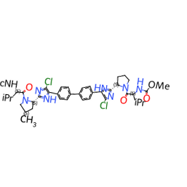 COC(=O)N[C@H](C(=O)N1CCC[C@H]1c1nc(Cl)c(-c2ccc(-c3ccc(-c4[nH]c([C@@H]5C[C@H](C)CN5C(=O)[C@@H](NC(C)=O)C(C)C)nc4Cl)cc3)cc2)[nH]1)C(C)C